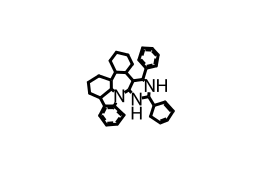 C1=CCC(C2NC(c3ccccc3)C3C4CCCCC4C4CCCC5c6ccccc6N(C3N2)C54)C=C1